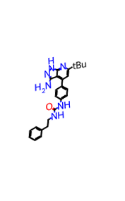 CC(C)(C)c1cc(-c2ccc(NC(=O)NCCc3ccccc3)cc2)c2c(N)n[nH]c2n1